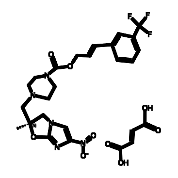 C[C@]1(CN2CCN(C(=O)OCC=Cc3cccc(C(F)(F)F)c3)CC2)Cn2cc([N+](=O)[O-])nc2O1.O=C(O)C=CC(=O)O